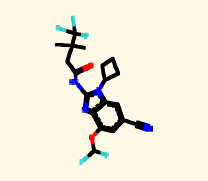 CC(C)(CC(=O)Nc1nc2c(OC(F)F)cc(C#N)cc2n1C1CCC1)C(F)(F)F